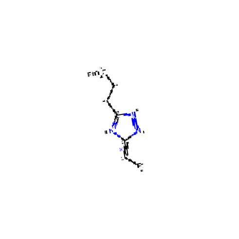 CC/C=C1\N=NC(CCC(=O)OCC)=N1